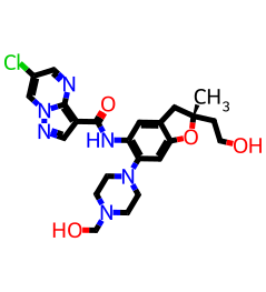 C[C@]1(CCO)Cc2cc(NC(=O)c3cnn4cc(Cl)cnc34)c(N3CCN(CO)CC3)cc2O1